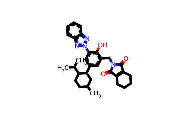 CC1CCC(C(C)C)C(c2cc(CN3C(=O)C4=C(CCCC4)C3=O)c(O)c(-n3nc4ccccc4n3)c2)C1